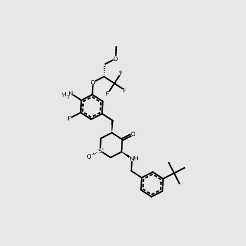 COC[C@@H](Oc1cc(C[C@@H]2C[S@@+]([O-])C[C@H](NCc3cccc(C(C)(C)C)c3)C2=O)cc(F)c1N)C(F)(F)F